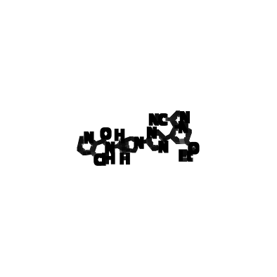 CCOc1cc(-c2cnc(N3C[C@@H]4C(NC(=O)c5ncccc5Cl)[C@@H]4C3)cn2)c2c(C#N)cnn2c1